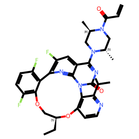 C=CC(=O)N1C[C@H](C)N(c2nc(=O)n3c4nc(c(F)cc24)-c2c(F)ccc(F)c2OC[C@H](CC)Oc2ccnc(C(C)C)c2-3)C[C@H]1C